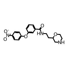 O=C(NCCC1CNCCO1)c1cccc(Oc2ccc([N+](=O)[O-])cc2)c1